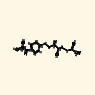 O=C(O)CCC(=O)NCCc1ccc(N[SH](=O)=O)cc1